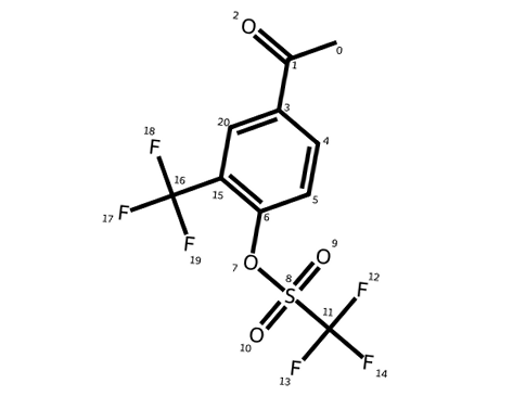 CC(=O)c1ccc(OS(=O)(=O)C(F)(F)F)c(C(F)(F)F)c1